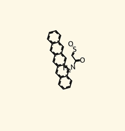 NC(=O)C=S=O.c1ccc2cc3cc4cc5ccccc5cc4cc3cc2c1